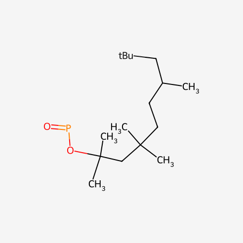 CC(CCC(C)(C)CC(C)(C)OP=O)CC(C)(C)C